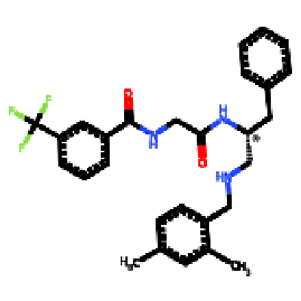 Cc1ccc(CNC[C@@H](Cc2ccccc2)NC(=O)CNC(=O)c2cccc(C(F)(F)F)c2)c(C)c1